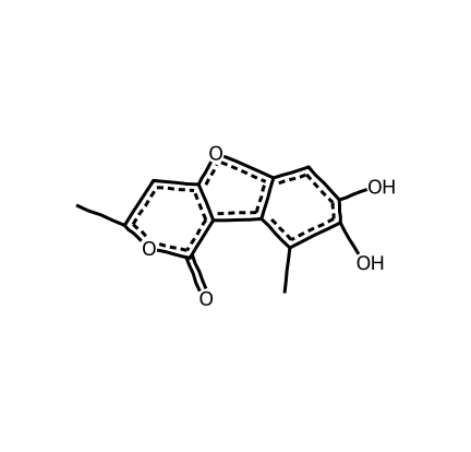 Cc1cc2oc3cc(O)c(O)c(C)c3c2c(=O)o1